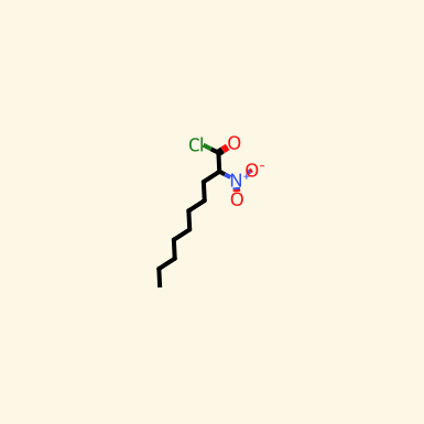 CCCCCCCCC(C(=O)Cl)[N+](=O)[O-]